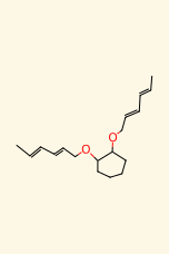 C/C=C/C=C/COC1CCCCC1OC/C=C/C=C/C